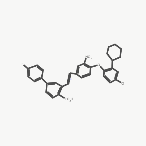 O=C(O)c1ccc(-c2ccc(F)cc2)cc1/C=C/c1ccc(Oc2ccc(Cl)cc2C2CCCCC2)c([N+](=O)[O-])c1